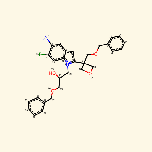 Nc1cc2cc(C3(COCc4ccccc4)COC3)n(CC(O)COCc3ccccc3)c2cc1F